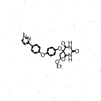 CCOCCC1(Oc2ccc(Oc3ccc(-c4ccn(C)n4)cc3)cc2)C(=O)NC(=O)NC1=O